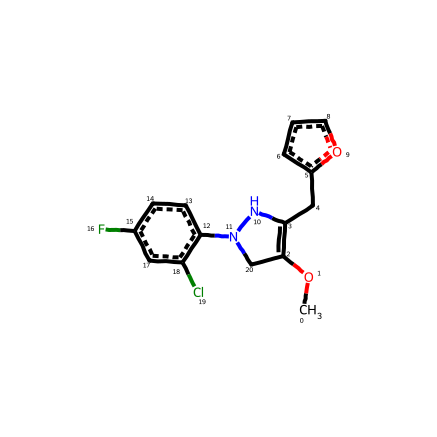 COC1=C(Cc2ccco2)NN(c2ccc(F)cc2Cl)C1